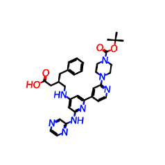 CC(C)(C)OC(=O)N1CCN(c2cc(-c3cc(NCC(CC(=O)O)Cc4ccccc4)cc(Nc4cnccn4)n3)ccn2)CC1